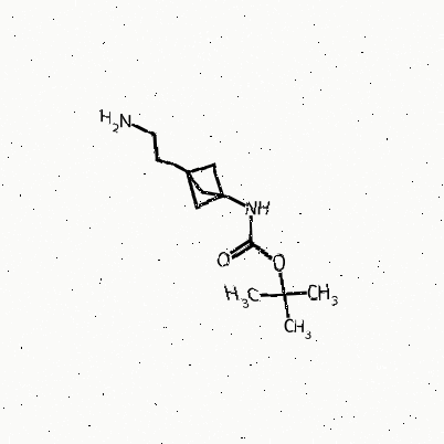 CC(C)(C)OC(=O)NC12CC(CCN)(C1)C2